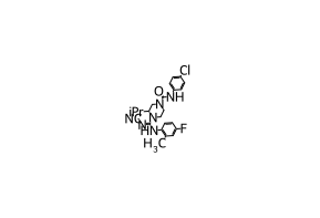 Cc1cc(F)ccc1N/C(=N/C#N)N1CCN(C(=O)Nc2ccc(Cl)cc2)CC1C(C)C